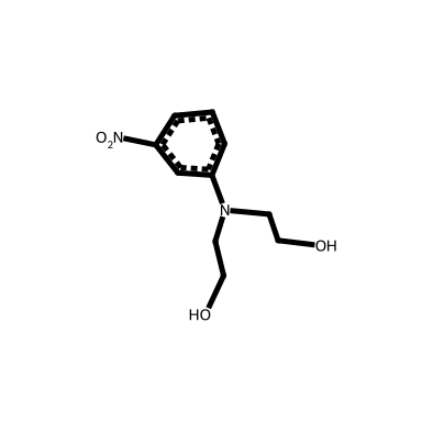 O=[N+]([O-])c1cccc(N(CCO)CCO)c1